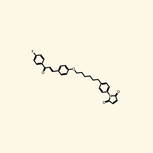 O=C(C=Cc1ccc(OCCCCCCc2ccc(N3C(=O)C=CC3=O)cc2)cc1)c1ccc(F)cc1